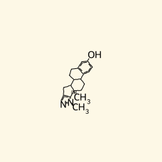 Cn1ncc2c1[C@@]1(C)CCC3c4ccc(O)cc4CCC3C1C2